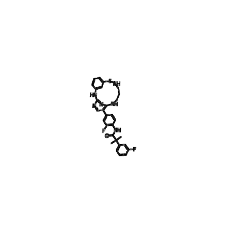 CC(C)(C(=O)Nc1ccc(-c2cnc3nc2NCCCNSc2cccc(c2)N3)cc1F)c1cccc(F)c1